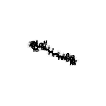 O=C(NCCCCCCCCNCO[C@@H]1CCn2ccnc21)O[C@@H]1CCn2ccnc21